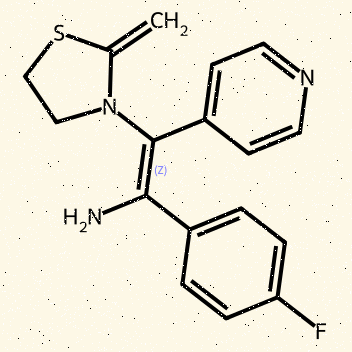 C=C1SCCN1/C(=C(\N)c1ccc(F)cc1)c1ccncc1